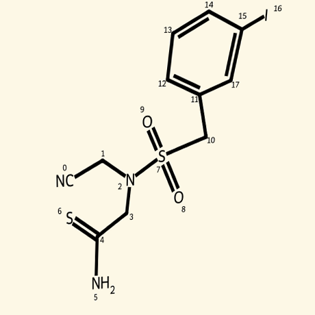 N#CCN(CC(N)=S)S(=O)(=O)Cc1cccc(I)c1